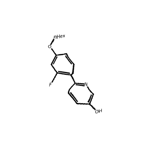 CCCCCCOc1ccc(-c2ccc(O)cn2)c(F)c1